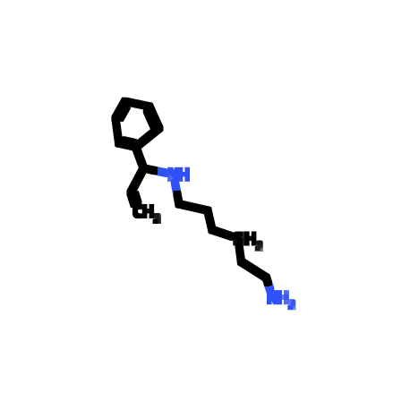 C=CC(NCCC[SiH2]CCN)c1ccccc1